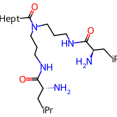 CCCCCCCC(=O)N(CCCNC(=O)[C@H](N)CC(C)C)CCCNC(=O)[C@H](N)CC(C)C